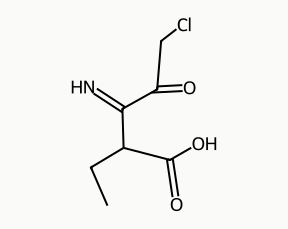 CCC(C(=N)C(=O)CCl)C(=O)O